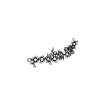 C=CC(=O)Nc1cc(Nc2nc(-c3ccnc(N4CCn5c(cc6c5CC(C)(C)C6)C4=O)c3CO)cn(C)c2=O)ccc1N1CCN(C2CCN(c3ccc(Cl)c(C(C)C)c3)CC2)C[C@@H]1C